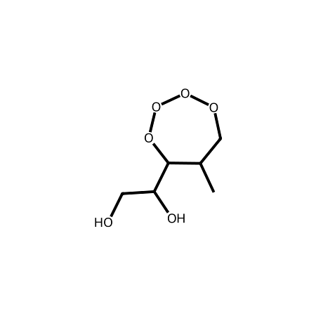 CC1COOOOC1C(O)CO